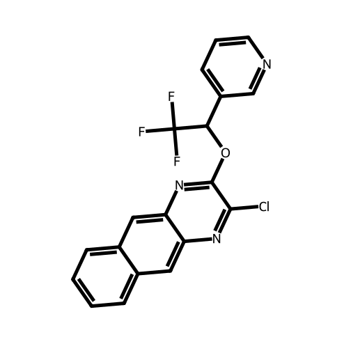 FC(F)(F)C(Oc1nc2cc3ccccc3cc2nc1Cl)c1cccnc1